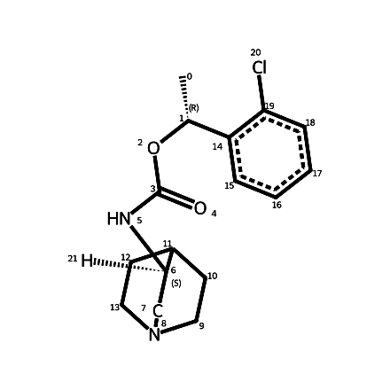 C[C@@H](OC(=O)N[C@@H]1CN2CCC1CC2)c1ccccc1Cl